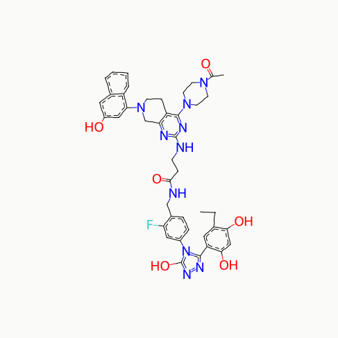 CCc1cc(-c2nnc(O)n2-c2ccc(CNC(=O)CCNc3nc4c(c(N5CCN(C(C)=O)CC5)n3)CCN(c3cc(O)cc5ccccc35)C4)c(F)c2)c(O)cc1O